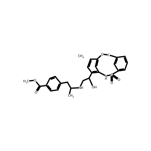 C.COC(=O)c1ccc(CC(C)NCC(O)c2ccc3cc2NS(=O)(=O)c2cccc(c2)CO3)cc1